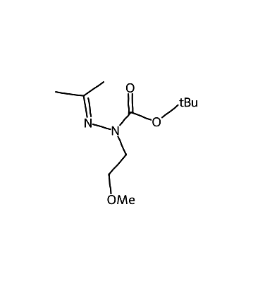 COCCN(N=C(C)C)C(=O)OC(C)(C)C